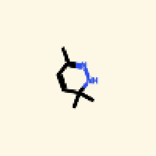 CC1=NNC(C)(C)C=C1